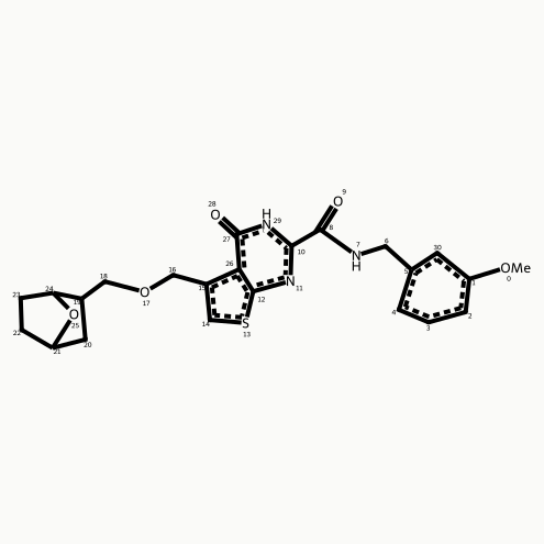 COc1cccc(CNC(=O)c2nc3scc(COCC4CC5CCC4O5)c3c(=O)[nH]2)c1